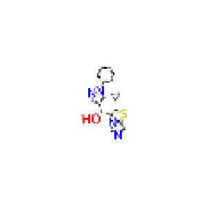 OC(c1cnn(-c2ccccc2)c1)c1c(C2CC2)sc2cncn12